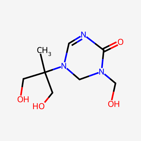 CC(CO)(CO)N1C=NC(=O)N(CO)C1